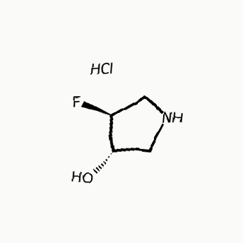 Cl.O[C@H]1CNC[C@@H]1F